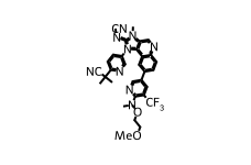 COCCON(C)c1ncc(-c2ccc3ncc4c(c3c2)n(-c2ccc(C(C)(C)C#N)nc2)c(=NC#N)n4C)cc1C(F)(F)F